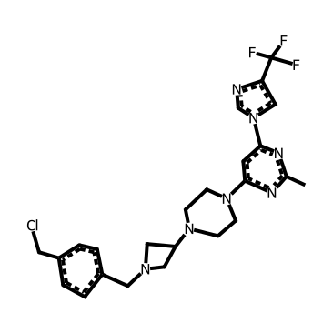 Cc1nc(N2CCN(C3CN(Cc4ccc(CCl)cc4)C3)CC2)cc(-n2cnc(C(F)(F)F)c2)n1